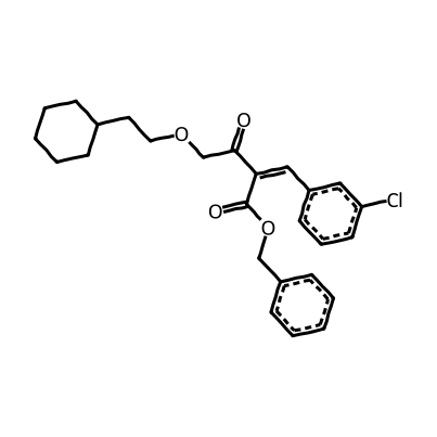 O=C(COCCC1CCCCC1)C(=Cc1cccc(Cl)c1)C(=O)OCc1ccccc1